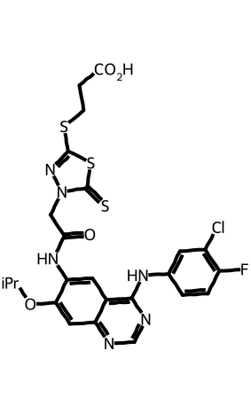 CC(C)Oc1cc2ncnc(Nc3ccc(F)c(Cl)c3)c2cc1NC(=O)Cn1nc(SCCC(=O)O)sc1=S